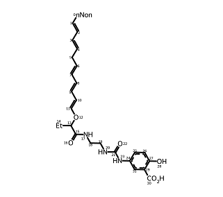 CCCCCCCCCC=CC=CCC=CC=CC=COC(CC)C(=O)NCCNC(=O)Nc1ccc(O)c(C(=O)O)c1